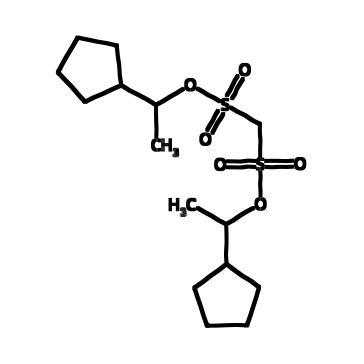 CC(OS(=O)(=O)CS(=O)(=O)OC(C)C1CCCC1)C1CCCC1